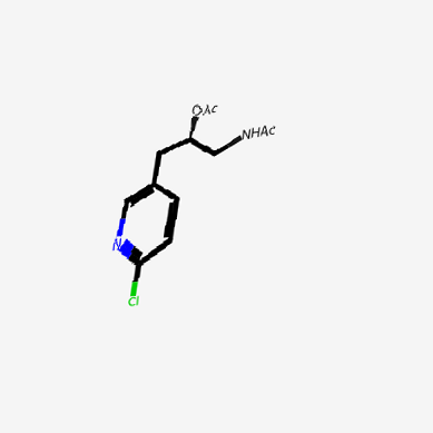 CC(=O)NC[C@@H](Cc1ccc(Cl)nc1)OC(C)=O